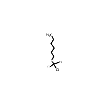 CCCCCCOC(Cl)(Cl)Cl